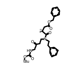 C[C@@H](CC(=O)OCc1ccccc1)C(=O)N(CCC(=O)CNC(=O)OC(C)(C)C)CCc1ccccc1